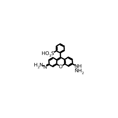 N/N=c1\ccc2c(-c3ccccc3S(=O)(=O)O)c3ccc(NN)cc3oc-2c1